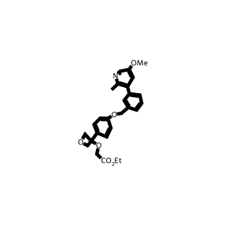 CCOC(=O)COC1(c2ccc(OCc3cccc(-c4cc(OC)cnc4C)c3)cc2)COC1